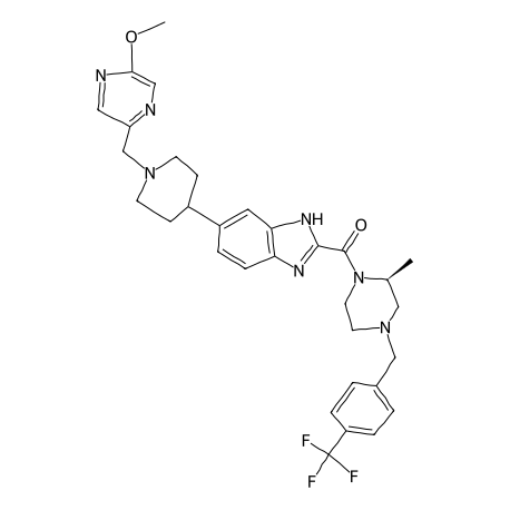 COc1cnc(CN2CCC(c3ccc4nc(C(=O)N5CCN(Cc6ccc(C(F)(F)F)cc6)C[C@@H]5C)[nH]c4c3)CC2)cn1